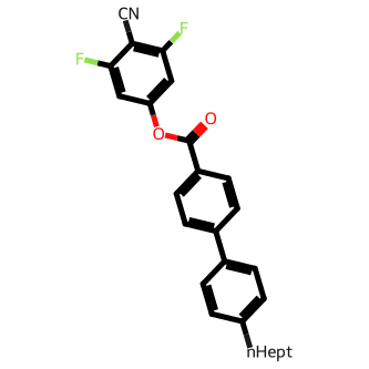 CCCCCCCc1ccc(-c2ccc(C(=O)Oc3cc(F)c(C#N)c(F)c3)cc2)cc1